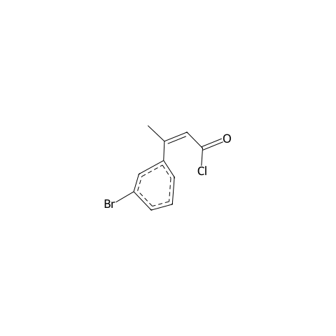 C/C(=C/C(=O)Cl)c1cccc(Br)c1